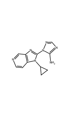 Nc1ncnn1-c1nc2cnccc2n1C1CC1